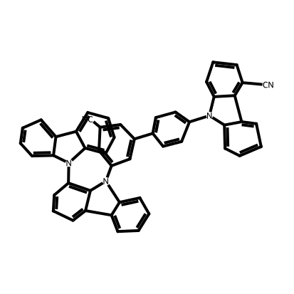 N#Cc1cc(-c2ccc(-n3c4ccccc4c4c(C#N)cccc43)cc2)cc(-n2c3ccccc3c3cccc(-n4c5ccccc5c5ccccc54)c32)c1